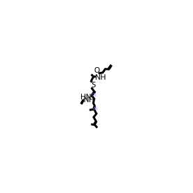 C=CCCC(=O)NC(C)CSC/C=C(/CC/C=C(\C)CCC=C(C)C)NNC=C